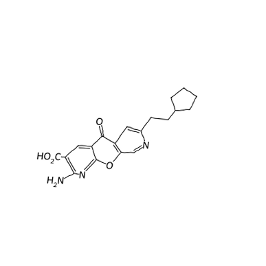 Nc1nc2oc3cnc(CCC4CCCC4)cc3c(=O)c2cc1C(=O)O